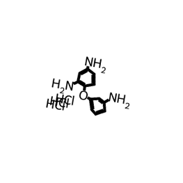 Cl.Cl.Cl.Nc1cccc(Oc2ccc(N)cc2N)c1